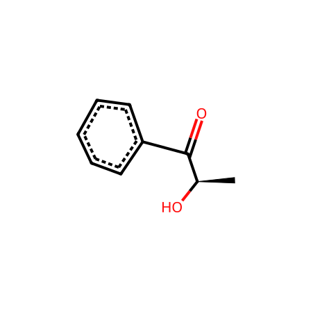 C[C@@H](O)C(=O)c1ccccc1